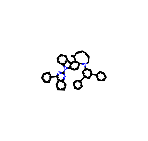 C=C1/C=C\C=C/CN(c2cc(-c3ccccc3)cc(-c3ccccc3)c2)c2ccc3c(c21)c1ccccc1n3-c1nc(-c2ccccc2)c2ccccc2n1